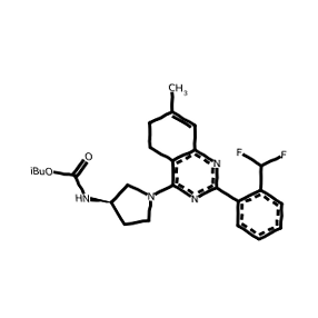 CC1=Cc2nc(-c3ccccc3C(F)F)nc(N3CC[C@@H](NC(=O)OCC(C)C)C3)c2CC1